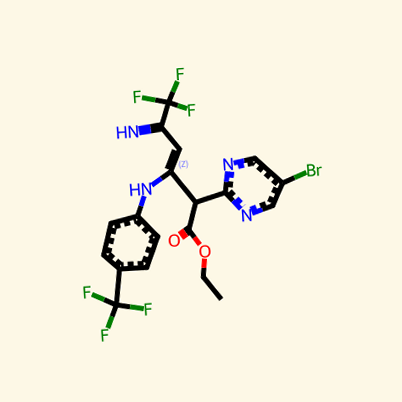 CCOC(=O)C(/C(=C/C(=N)C(F)(F)F)Nc1ccc(C(F)(F)F)cc1)c1ncc(Br)cn1